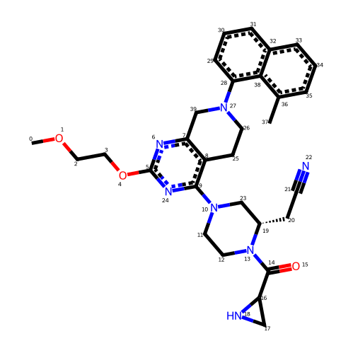 COCCOc1nc2c(c(N3CCN(C(=O)C4CN4)[C@@H](CC#N)C3)n1)CCN(c1cccc3cccc(C)c13)C2